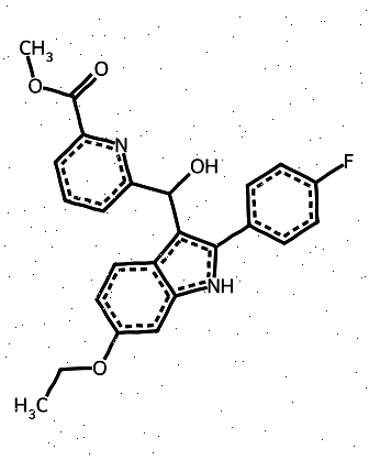 CCOc1ccc2c(C(O)c3cccc(C(=O)OC)n3)c(-c3ccc(F)cc3)[nH]c2c1